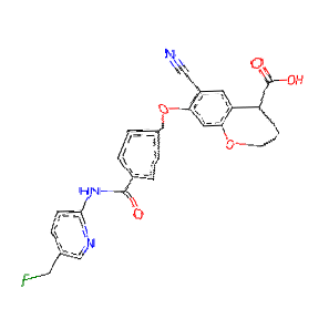 N#Cc1cc2c(cc1Oc1ccc(C(=O)Nc3ccc(CF)cn3)cc1)OCCC2C(=O)O